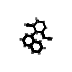 O=C1OCCC(=CBr)C1c1cccc2ccccc12